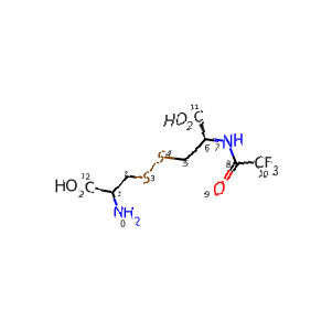 NC(CSSC[C@H](NC(=O)C(F)(F)F)C(=O)O)C(=O)O